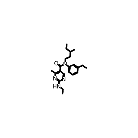 CCNc1ncc(C(=O)N(CCC(C)CC)c2cccc(CC)c2)c(C)n1